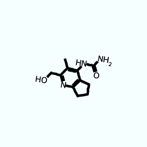 Cc1c(CO)nc2c(c1NC(N)=O)CCC2